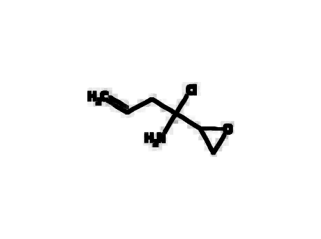 C=CCC(N)(Cl)C1CO1